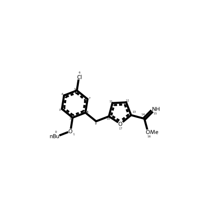 CCCCOc1ccc(Cl)cc1Cc1ccc(C(=N)OC)o1